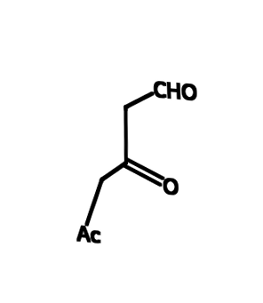 CC(=O)CC(=O)CC=O